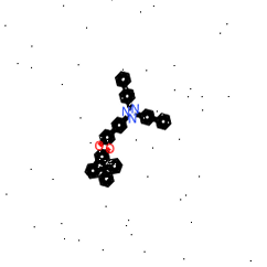 c1ccc(-c2ccc(-c3nc(-c4ccc(-c5ccccc5)cc4)nc(-c4ccc(-c5ccc6c(c5)Oc5cc7c(cc5O6)-c5ccccc5C7(c5ccccc5)c5ccccc5)cc4)n3)cc2)cc1